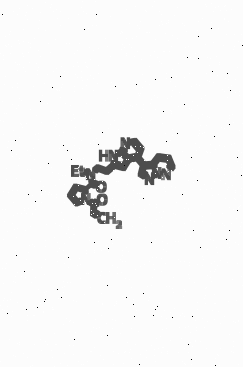 C=CC(=O)N1CCC[C@H]1C(=O)N(CC)CCc1cc2c(-c3cnn4ncccc34)ccnc2[nH]1